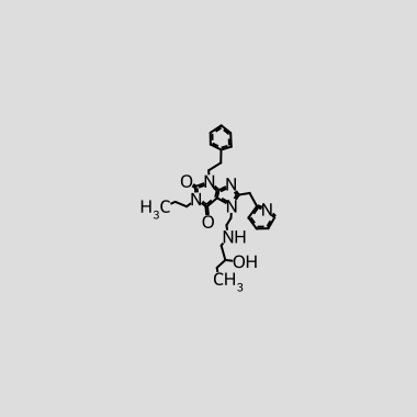 CCCn1c(=O)c2c(nc(Cc3ccccn3)n2CCNCC(O)CC)n(CCc2ccccc2)c1=O